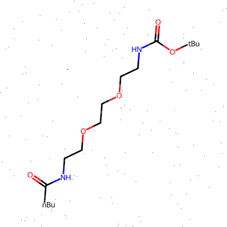 CCCCC(=O)NCCOCCOCCNC(=O)OC(C)(C)C